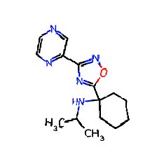 CC(C)NC1(c2nc(-c3cnccn3)no2)CCCCC1